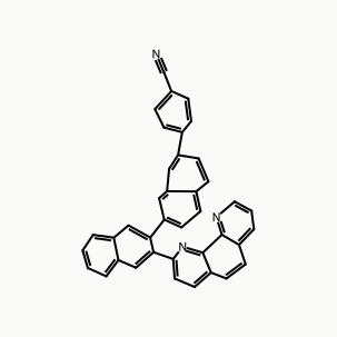 N#Cc1ccc(-c2ccc3ccc(-c4cc5ccccc5cc4-c4ccc5ccc6cccnc6c5n4)cc3c2)cc1